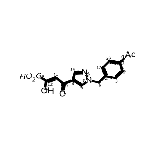 CC(=O)c1ccc(Cn2cc(C(=O)C=C(O)C(=O)O)cn2)cc1